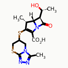 Cc1nnc2n1CC(SC1=C(C(=O)O)N3C(=O)[C@H]([C@@H](C)O)[C@H]3[C@H]1C)CS2